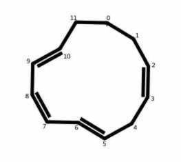 [CH]1C/C=C\C/C=C/C=C\C=C\C1